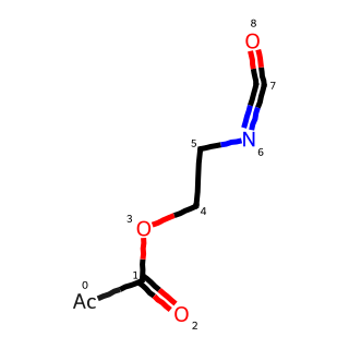 CC(=O)C(=O)OCCN=C=O